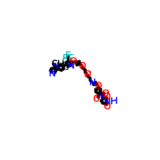 Cn1c2ccncc2c2ccc(-c3cnc(OC4CC(OCCCOCCCN5CC(Oc6ccc7c(c6)C(=O)N(C6CCC(=O)NC6=O)C7=O)C5)C4)c(C(F)(F)F)c3)cc21